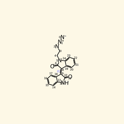 [N-]=[N+]=NCCN1C(=O)/C(=C2/C(=O)Nc3ccccc32)c2ccccc21